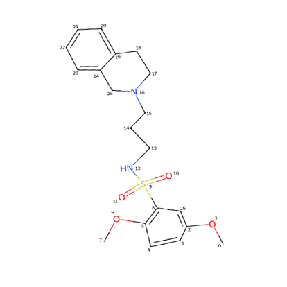 COc1ccc(OC)c(S(=O)(=O)NCCCN2CCc3ccccc3C2)c1